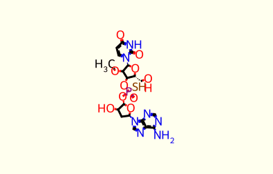 COC1C(OP(=O)(S)O[C@H]2O[C@@H](n3cnc4c(N)ncnc43)CC2O)[C@@H](CO)O[C@H]1n1ccc(=O)[nH]c1=O